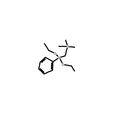 CCO[Si](C[Si](C)(C)C)(OCC)c1ccccc1